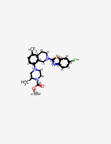 CC1CN(c2ccc(C(F)(F)F)c3c2CN(c2nc4ccc(F)cc4s2)CC3)CCN1C(=O)OC(C)(C)C